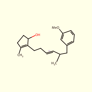 COc1cccc(CC(C)/C=C/CCC2=C(C)CCC2O)c1